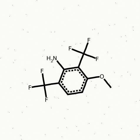 COc1ccc(C(F)(F)F)c(N)c1C(F)(F)F